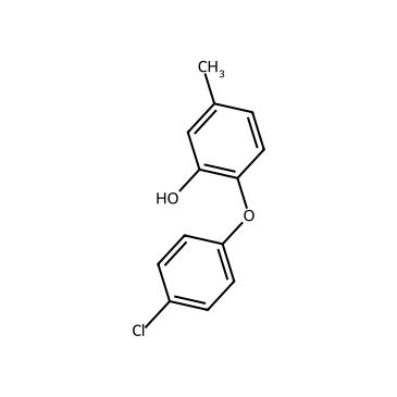 Cc1ccc(Oc2ccc(Cl)cc2)c(O)c1